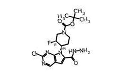 CC(C)(C)OC(=O)N1CC[C@@H](n2c(C(=O)NN)cc3cnc(Cl)nc32)[C@@H](F)C1